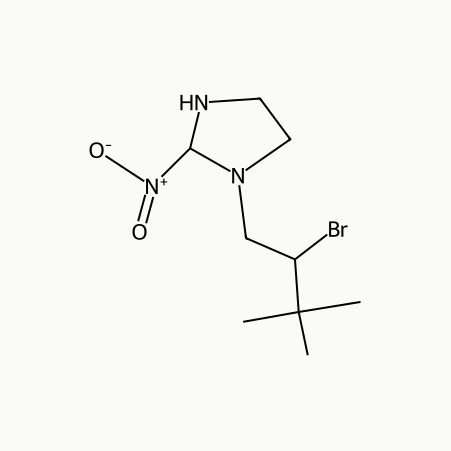 CC(C)(C)C(Br)CN1CCNC1[N+](=O)[O-]